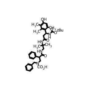 Cc1cc(O)c(C)c(C)c1C(CC(=O)NC(C)(C)CNC(=O)C(CN(Cc1ccccc1)C(=O)O)c1ccccc1)NC(=O)OC(C)(C)C